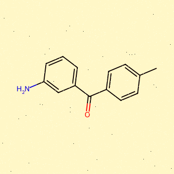 Cc1ccc(C(=O)c2cccc(N)c2)cc1